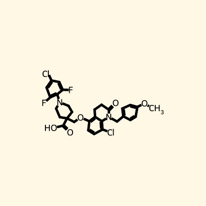 COc1ccc(CN2C(=O)CCc3c(OCC4(C(=O)O)CCN(c5c(F)cc(Cl)cc5F)CC4)ccc(Cl)c32)cc1